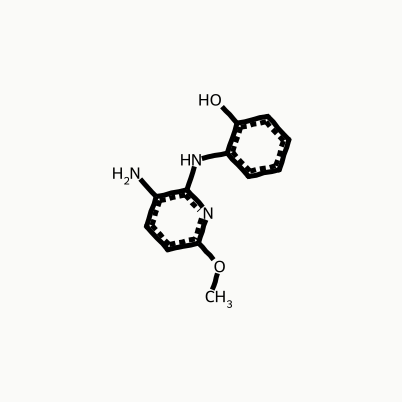 COc1ccc(N)c(Nc2ccccc2O)n1